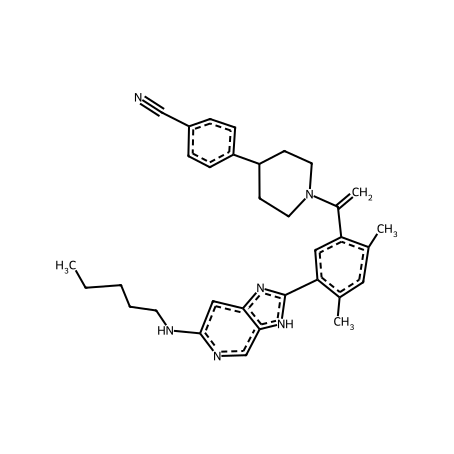 C=C(c1cc(-c2nc3cc(NCCCCC)ncc3[nH]2)c(C)cc1C)N1CCC(c2ccc(C#N)cc2)CC1